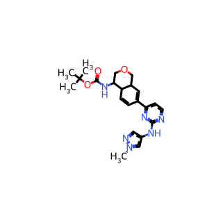 Cn1cc(Nc2nccc(C3=CC4COCC(NC(=O)OC(C)(C)C)C4C=C3)n2)cn1